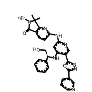 CCCN1C(=O)c2ccc(Nc3cc(N[C@H](CO)c4ccccc4)c(-c4nnc(-c5cccnc5)o4)cn3)nc2C1(C)C